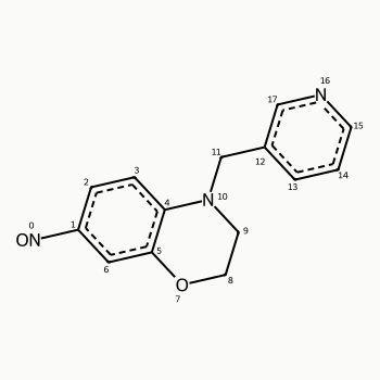 O=Nc1ccc2c(c1)OCCN2Cc1cccnc1